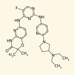 CCN(CC)C1CCN(c2ccc(Nc3ncc(F)c(Nc4ccc5c(n4)NC(=O)C(C)(C)O5)n3)cn2)C1